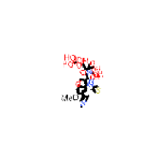 COc1cc2c(cc1-c1ccn(C)c1)-c1c(c(C(=O)N(C(O)(O)O)C3(CCOC(O)(O)O)COC3)nn1-c1ccsc1)CO2